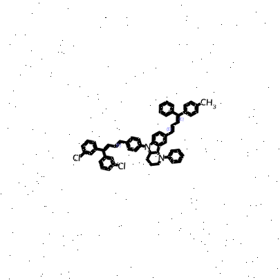 Cc1ccc(/C(=C/C=C/c2ccc3c(c2)C2C(CCCN2c2ccccc2)N3c2ccc(/C=C/C=C(c3cccc(Cl)c3)c3cccc(Cl)c3)cc2)c2ccccc2)cc1